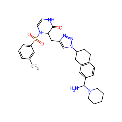 NC(c1ccc2c(c1)CC(n1cc(CC3C(=O)NC=CN3S(=O)(=O)c3cccc(C(F)(F)F)c3)nn1)CC2)N1CCCCC1